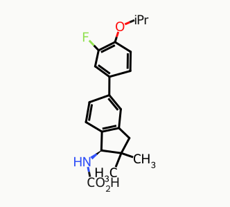 CC(C)Oc1ccc(-c2ccc3c(c2)CC(C)(C)[C@H]3NC(=O)O)cc1F